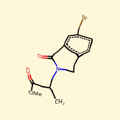 COC(=O)C(C)N1Cc2ccc(Br)cc2C1=O